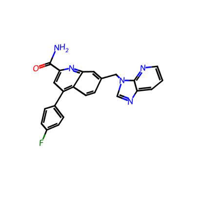 NC(=O)c1cc(-c2ccc(F)cc2)c2ccc(Cn3cnc4cccnc43)cc2n1